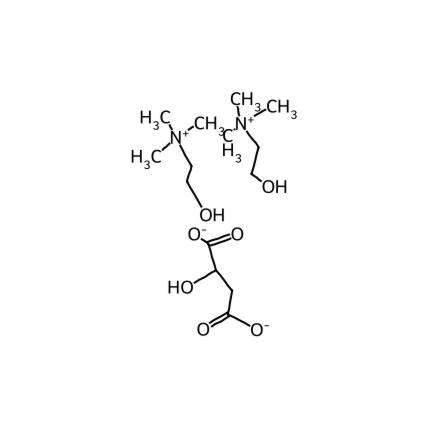 C[N+](C)(C)CCO.C[N+](C)(C)CCO.O=C([O-])CC(O)C(=O)[O-]